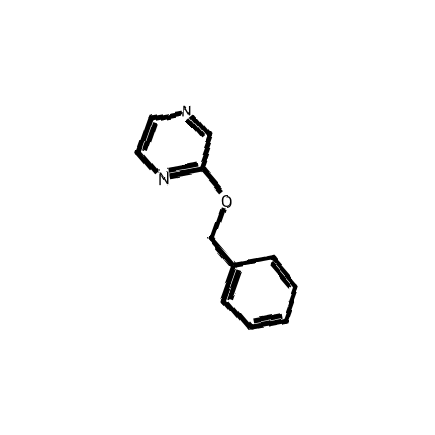 [CH](Oc1cnccn1)c1ccccc1